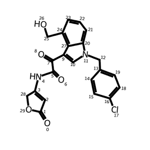 O=C1C=C(NC(=O)C(=O)c2cn(Cc3ccc(Cl)cc3)c3cccc(CO)c23)CO1